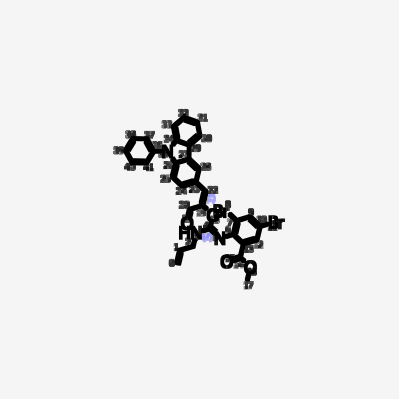 C=CCN/C(=N/c1c(Br)cc(Br)cc1C(=O)OC)O/C(C=O)=C/c1ccc2c(c1)c1ccccc1n2-c1ccccc1